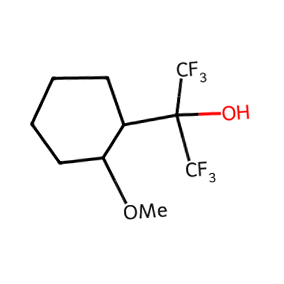 COC1CCCCC1C(O)(C(F)(F)F)C(F)(F)F